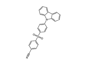 N#Cc1ccc(S(=O)(=O)c2ccc(-n3c4ccccc4c4ccccc43)cc2)cc1